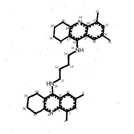 Cc1cc(C)c2nc3c(c(NCCCCNc4c5c(nc6c(C)cc(C)cc46)CCCC5)c2c1)CCCC3